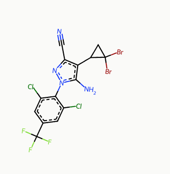 N#Cc1nn(-c2c(Cl)cc(C(F)(F)F)cc2Cl)c(N)c1C1CC1(Br)Br